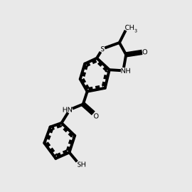 CC1Sc2ccc(C(=O)Nc3cccc(S)c3)cc2NC1=O